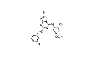 O=C(O)N1C[C@@H](O)[C@H](Nc2nc(SCc3cccc(F)c3F)nc3nc(Br)sc23)C1